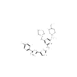 OC1CCC(Nc2cc(CN3CCOCC3)cc(Nc3ncc(-c4nnc(-c5ccc(F)cc5)o4)s3)n2)CC1